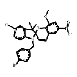 COc1cc([N+](=O)[O-])cc2c1OC1(C=C2)N(Cc2ccc(Br)cc2)c2ccc(Cl)cc2C1(C)C